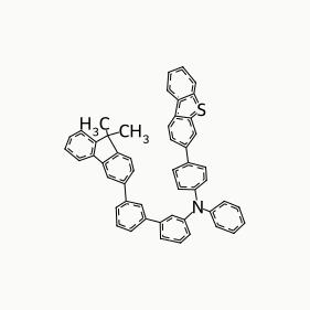 CC1(C)c2ccccc2-c2cc(-c3cccc(-c4cccc(N(c5ccccc5)c5ccc(-c6ccc7c(c6)sc6ccccc67)cc5)c4)c3)ccc21